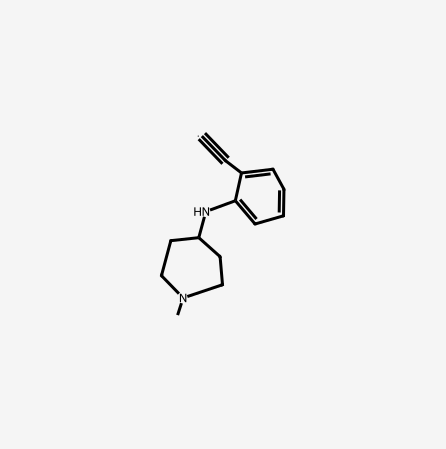 [C]#Cc1ccccc1NC1CCN(C)CC1